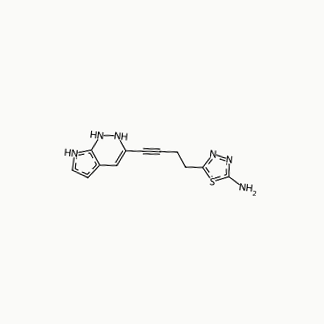 Nc1nnc(CCC#CC2=Cc3cc[nH]c3NN2)s1